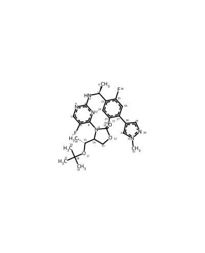 C[C@H](Nc1ncc(F)c(N2C(=O)OCC2[C@@H](C)OC(C)(C)C)n1)c1cc(F)c(-c2cnn(C)c2)cc1F